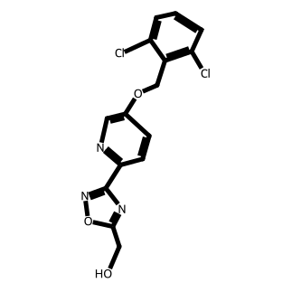 OCc1nc(-c2ccc(OCc3c(Cl)cccc3Cl)cn2)no1